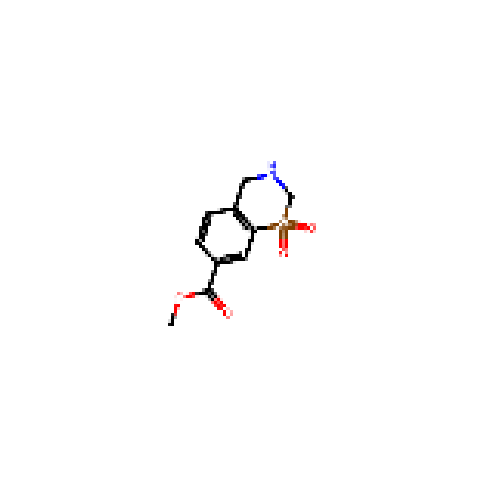 COC(=O)c1ccc2c(c1)S(=O)(=O)CNC2